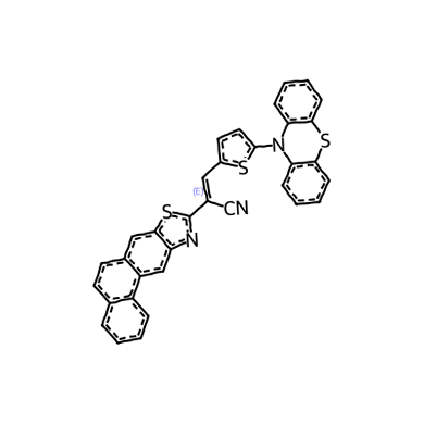 N#C/C(=C\c1ccc(N2c3ccccc3Sc3ccccc32)s1)c1nc2cc3c(ccc4ccccc43)cc2s1